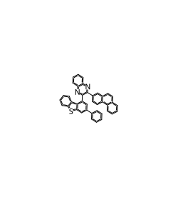 c1ccc(-c2cc(-c3nc4ccccc4nc3-c3ccc4c(ccc5ccccc54)c3)c3c(c2)sc2ccccc23)cc1